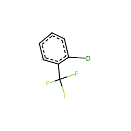 FC(F)(F)c1[c]cccc1Cl